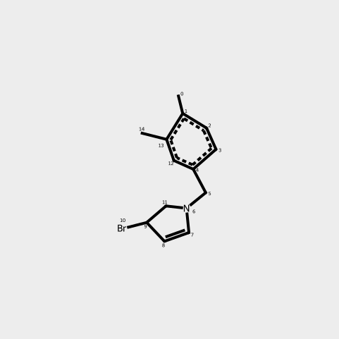 Cc1ccc(CN2C=CC(Br)C2)cc1C